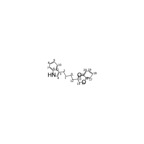 [CH](CCc1c[nH]c2ccccc12)CC1COc2ccccc2O1